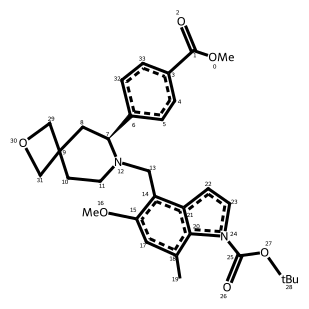 COC(=O)c1ccc([C@@H]2CC3(CCN2Cc2c(OC)cc(C)c4c2ccn4C(=O)OC(C)(C)C)COC3)cc1